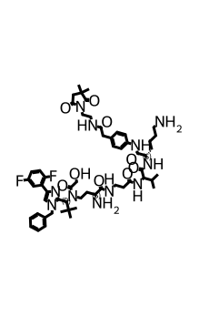 CC(C)C(NC(=O)CCNC(=O)[C@@H](N)CCN(C(=O)CO)[C@@H](c1nc(-c2cc(F)ccc2F)cn1Cc1ccccc1)C(C)(C)C)C(=O)N[C@@H](CCCCN)C(=O)Nc1ccc(CC(=O)NCCN2C(=O)CC(C)(C)C2=O)cc1